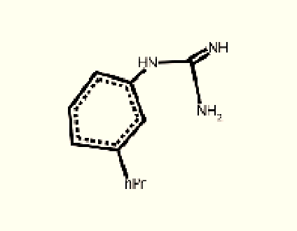 CCCc1cccc(NC(=N)N)c1